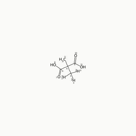 [2H]C([2H])([2H])C(C)(C(=O)O)C(=O)O